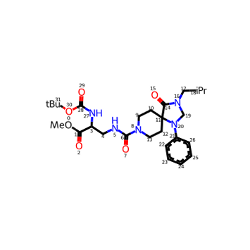 COC(=O)C(CNC(=O)N1CCC2(CC1)C(=O)N(CC(C)C)CN2c1ccccc1)NC(=O)OC(C)(C)C